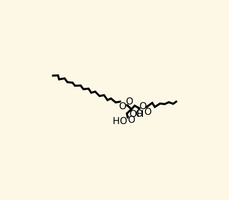 CCCCCCCCCCCCCCCCCCOC(=O)C(O)(CC(=O)O)CC(=O)OC(=O)CCCCCCC